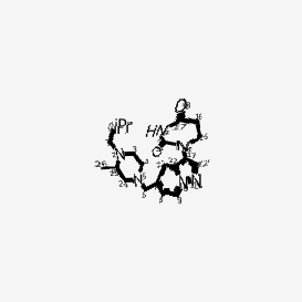 CC(C)CN1CCN(Cc2ccn3ncc(N4CCC(=O)NC4=O)c3c2)C[C@H]1C